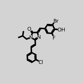 CC(C)CN1C(=O)/C(=C/c2cc(F)c(O)c(Br)c2)N=C1/C=C/c1cccc(Cl)c1